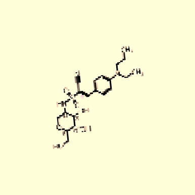 CCCN(CC)c1ccc(/C=C(\C#N)S(=O)(=O)N[C@H]2CO[C@H](CO)[C@@H](O)[C@@H]2O)cc1